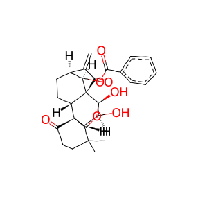 C=C1C(=O)[C@]23[C@H](OC(=O)c4ccccc4)[C@H]1CC[C@H]2[C@@]12CO[C@]3(O)[C@@H](O)[C@@H]1C(C)(C)CCC2=O